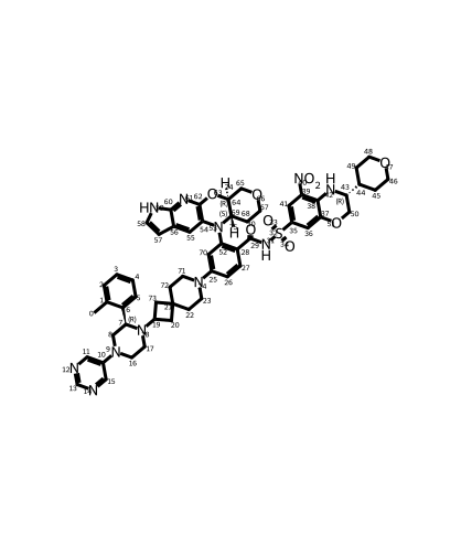 Cc1ccccc1[C@@H]1CN(c2cncnc2)CCN1C1CC2(CCN(c3ccc(C(=O)NS(=O)(=O)c4cc5c(c([N+](=O)[O-])c4)N[C@H](C4CCOCC4)CO5)c(N4c5cc6cc[nH]c6nc5O[C@H]5COCC[C@@H]54)c3)CC2)C1